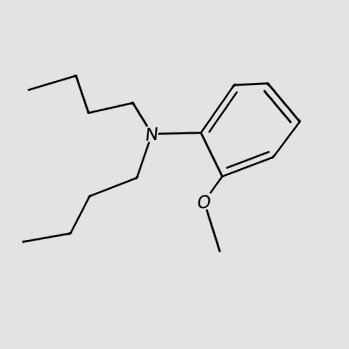 CCCCN(CCCC)c1ccccc1OC